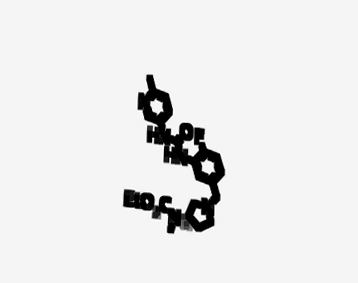 CCOC(=O)N(C)[C@H]1CCN(Cc2ccc(F)c(NC(=O)Nc3ccc(C)nc3)c2)C1